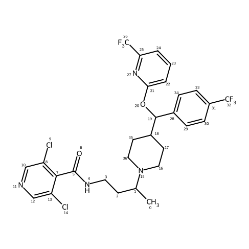 CC(CCNC(=O)c1c(Cl)cncc1Cl)N1CCC(C(Oc2cccc(C(F)(F)F)n2)c2ccc(C(F)(F)F)cc2)CC1